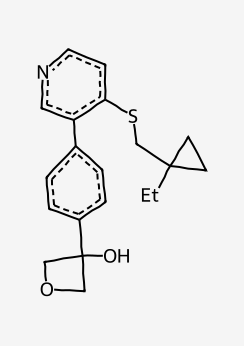 CCC1(CSc2ccncc2-c2ccc(C3(O)COC3)cc2)CC1